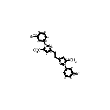 Cc1cc(CCc2cc(C(Cl)(Cl)Cl)n(-c3cccc(Br)c3)n2)nn1-c1cccc(Br)c1